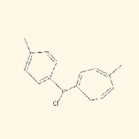 CC1=CC=C(P(Cl)c2ccc(C)cc2)CC=C1